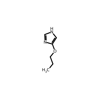 CCCOc1c[nH]cn1